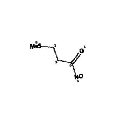 CSCCC(=O)N=O